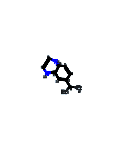 CCC(CC)c1ccc2nccnc2c1